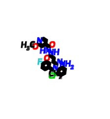 C=C(c1ccc(F)cc1)N(C(/C=C/C(=O)NNC(=O)c1ccnc(OC)c1)=N\N)c1ccccc1Cl